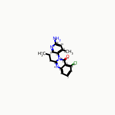 CCCc1nc2cccc(Cl)c2c(=O)n1-c1cnc(N)cc1C